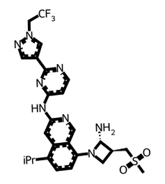 CC(C)c1ccc(N2C[C@H](CS(C)(=O)=O)[C@H]2N)c2cnc(Nc3ccnc(-c4cnn(CC(F)(F)F)c4)n3)cc12